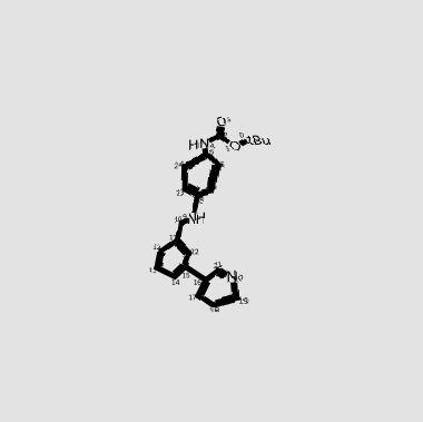 CC(C)(C)OC(=O)Nc1ccc(NCc2cccc(-c3cccnc3)c2)cc1